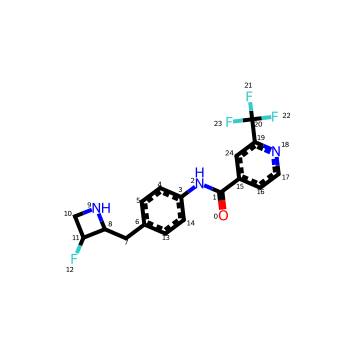 O=C(Nc1ccc(CC2NCC2F)cc1)c1ccnc(C(F)(F)F)c1